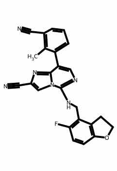 Cc1c(C#N)cccc1-c1cnc(NCc2c(F)ccc3c2CCO3)n2cc(C#N)nc12